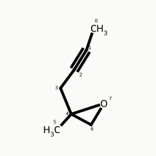 CC#CCC1(C)CO1